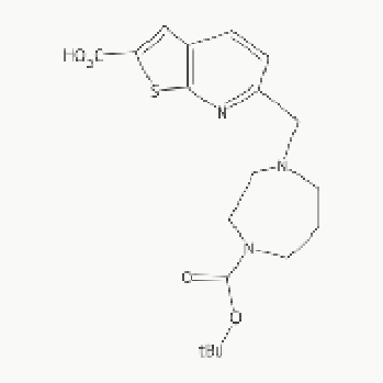 CC(C)(C)OC(=O)N1CCCN(Cc2ccc3cc(C(=O)O)sc3n2)CC1